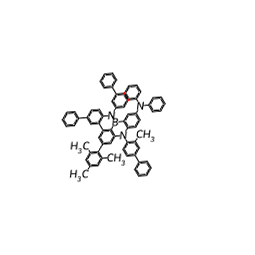 Cc1cc(C)c(-c2cc3c4c(c2)N(c2ccc(-c5ccccc5)cc2C)c2ccc(N(c5ccccc5)c5ccccc5)cc2B4N(c2cccc(-c4ccccc4)c2)c2ccc(-c4ccccc4)cc2-3)c(C)c1